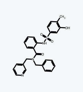 Cc1ccc(S(=O)(=O)Nc2ccccc2C(=O)N(Cc2ccccc2)Cc2cccnc2)cc1O